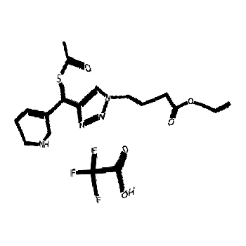 CCOC(=O)CCCn1cc(C(SC(C)=O)C2=CCCNC2)nn1.O=C(O)C(F)(F)F